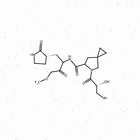 CC(C)C[C@@H](O)C(=O)N1CC2(CC2)CC1C(=O)NC(C[C@@H]1CCNC1=O)C(=O)COC(F)(F)F